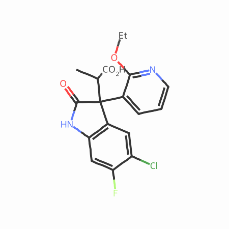 CCOc1ncccc1C1(C(C)C(=O)O)C(=O)Nc2cc(F)c(Cl)cc21